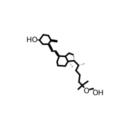 C=C1CC[C@H](O)C/C1=C/C=C1CCC[C@@]2(C)C1CC[C@@H]2[C@H](C)CCCC(C)(C)OCO